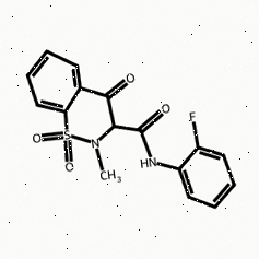 CN1C(C(=O)Nc2ccccc2F)C(=O)c2ccccc2S1(=O)=O